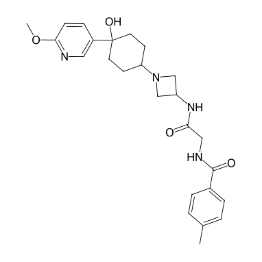 COc1ccc(C2(O)CCC(N3CC(NC(=O)CNC(=O)c4ccc(C)cc4)C3)CC2)cn1